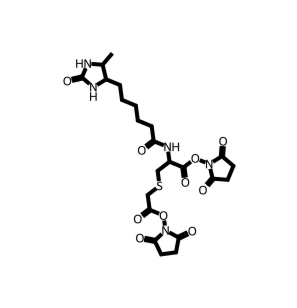 CC1NC(=O)NC1CCCCCC(=O)NC(CSCC(=O)ON1C(=O)CCC1=O)C(=O)ON1C(=O)CCC1=O